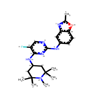 Cc1nc2cc(Nc3ncc(F)c(NC4CC(C)(C)N(C)C(C)(C)C4)n3)ccc2o1